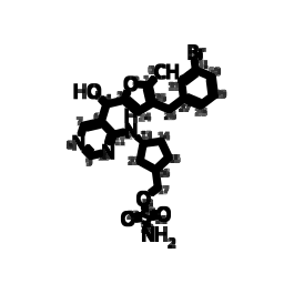 Cc1oc(C(O)c2cncnc2N[C@H]2CCC(COS(N)(=O)=O)C2)cc1Cc1cccc(Br)c1